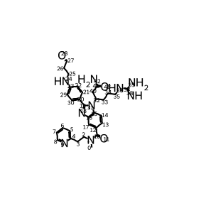 CN(CCc1ccccn1)C(=O)c1ccc2c(c1)nc(-c1ccc(NCCC=O)cc1)n2C(CCCNC(=N)N)CC(N)=O